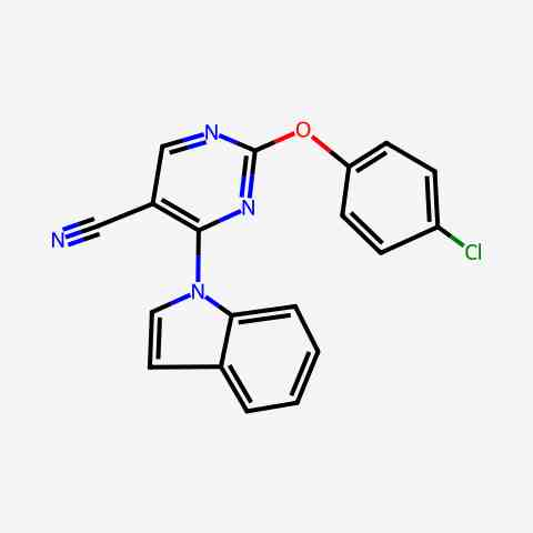 N#Cc1cnc(Oc2ccc(Cl)cc2)nc1-n1ccc2ccccc21